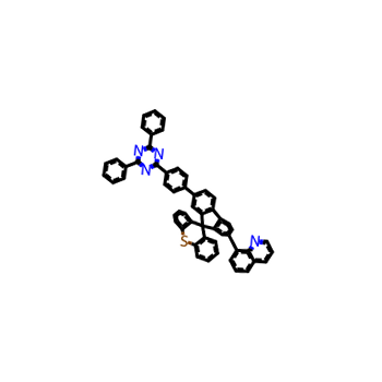 c1ccc(-c2nc(-c3ccccc3)nc(-c3ccc(-c4ccc5c(c4)C4(c6ccccc6Sc6ccccc64)c4cc(-c6cccc7cccnc67)ccc4-5)cc3)n2)cc1